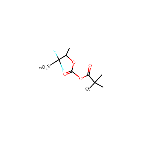 CCC(C)(C)C(=O)OC(=O)OC(C)C(F)(F)S(=O)(=O)O